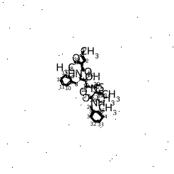 Cc1cc(C(=O)N[C@@H](Cc2ccccc2)[C@H](O)C(=O)N2CSC(C)(C)[C@H]2C(=O)NCc2ccccc2C)c(C)o1